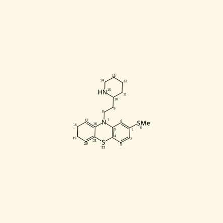 CSc1ccc2c(c1)N(CCC1CCCCN1)C1=CCCC=C1S2